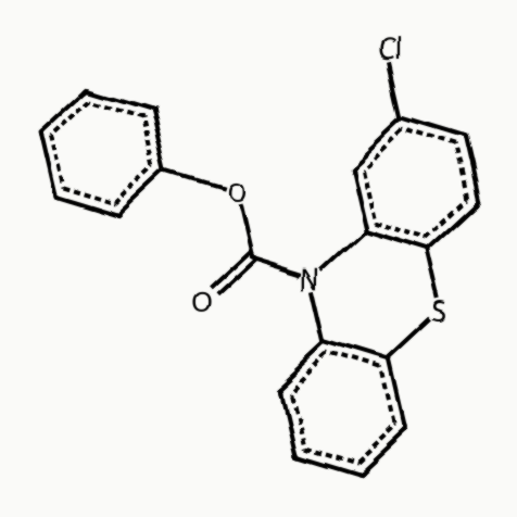 O=C(Oc1ccccc1)N1c2ccccc2Sc2ccc(Cl)cc21